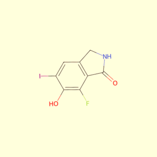 O=C1NCc2cc(I)c(O)c(F)c21